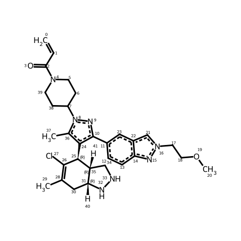 C=CC(=O)N1CCC(n2nc(-c3ccc4nn(CCOC)cc4c3)c([C@@H]3C(Cl)=C(C)C[C@H]4NNC[C@H]43)c2C)CC1